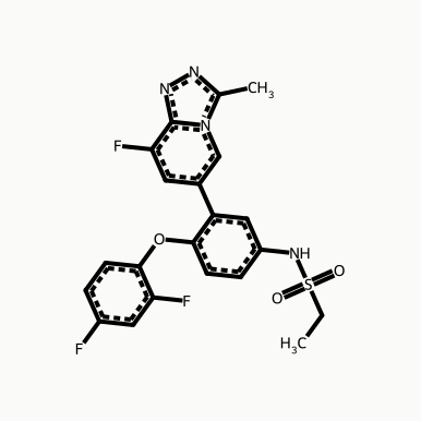 CCS(=O)(=O)Nc1ccc(Oc2ccc(F)cc2F)c(-c2cc(F)c3nnc(C)n3c2)c1